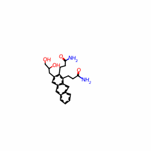 NC(=O)CCc1c(CC(O)CO)cc2cc3ccccc3cc2c1CCC(N)=O